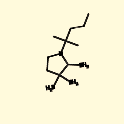 BC1N(C(C)(C)CCC)CCC1(B)B